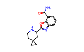 NC(=O)c1cccc2nc(C3CC4(CCN3)CC4)oc12